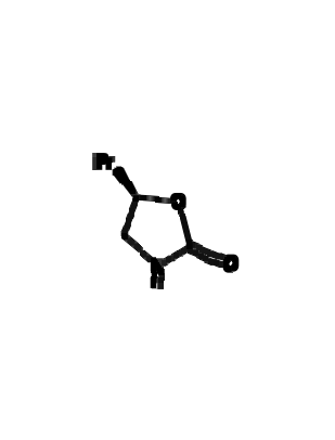 CC(C)[C@@H]1CNC(=O)O1